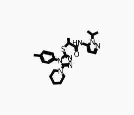 Cc1ccc(-n2c(SC(C)C(=O)Nc3ccnn3C(C)C)nnc2N2CCCCC2)cc1